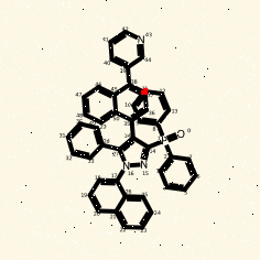 O=P(c1ccccc1)(c1ccccc1)c1nn(-c2cccc3ccccc23)c(-c2ccccc2)c1-c1ccc(-c2cccnc2)c2ccccc12